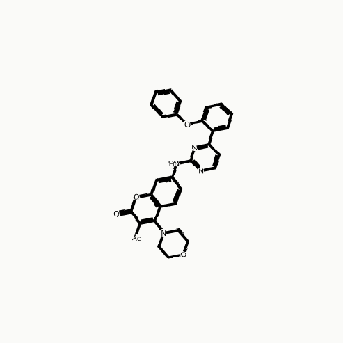 CC(=O)c1c(N2CCOCC2)c2ccc(Nc3nccc(-c4ccccc4Oc4ccccc4)n3)cc2oc1=O